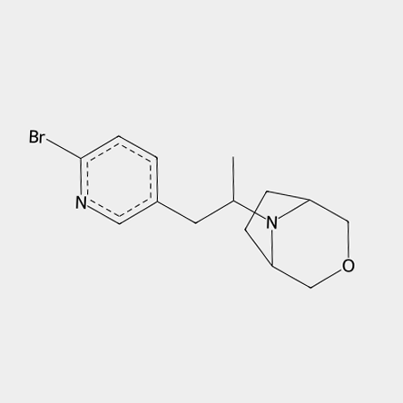 CC(Cc1ccc(Br)nc1)N1C2CCC1COC2